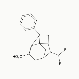 O=C(O)C12CC3CC4(C1)C(CC4(c1ccccc1)C2)C3C(F)F